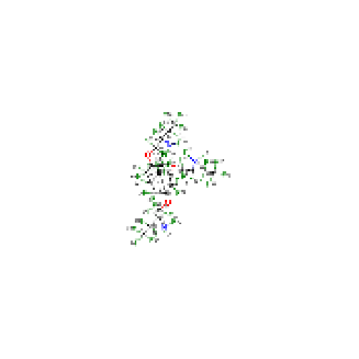 FN(F)C(F)(C(F)(F)OC12C(F)(F)C3(F)C(F)(F)C(OC(F)(F)C(F)(N(F)F)C(F)(F)C(F)(F)F)(C1(F)F)C(F)(F)C(OC(F)(F)C(F)(N(F)F)C(F)(F)C(F)(F)F)(C3(F)F)C2(F)F)C(F)(F)C(F)(F)F